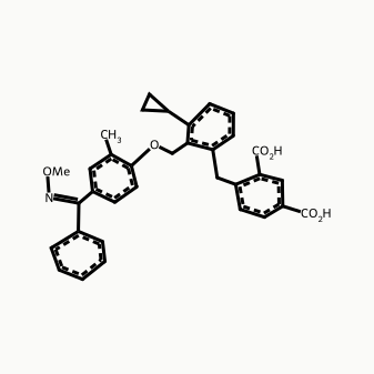 CON=C(c1ccccc1)c1ccc(OCc2c(Cc3ccc(C(=O)O)cc3C(=O)O)cccc2C2CC2)c(C)c1